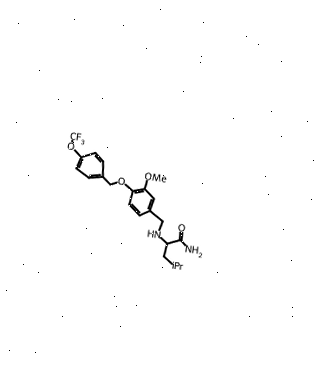 COc1cc(CNC(CC(C)C)C(N)=O)ccc1OCc1ccc(OC(F)(F)F)cc1